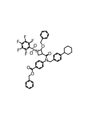 O=C(OCc1ccccc1)c1ccc(N(Cc2ccc(C3CCCCC3)cc2)C(=O)C2CN(S(=O)(=O)c3c(F)c(F)c(F)c(F)c3F)C2OCc2ccccc2)cc1